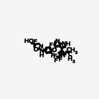 CC(C)n1nc(C(F)(F)F)cc1-c1c[nH]c2nccc(Oc3c(F)cc(NC4=NCC(F)(CO)CO4)cc3F)c12